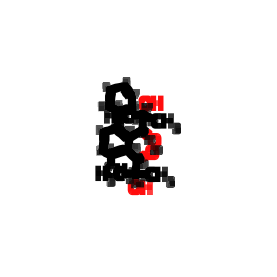 Cc1ccc(-c2ccccc2)c(C(=O)C(C)(C)O)c1C(=O)C(C)(C)O